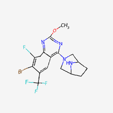 COc1nc(N2CC3CCC(C2)N3)c2cc(C(F)(F)F)c(Br)c(F)c2n1